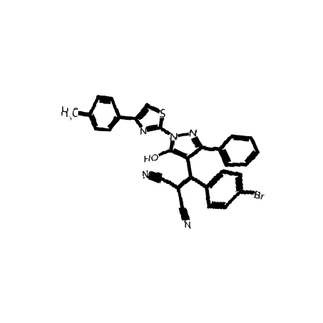 Cc1ccc(-c2csc(-n3nc(-c4ccccc4)c(C(c4ccc(Br)cc4)C(C#N)C#N)c3O)n2)cc1